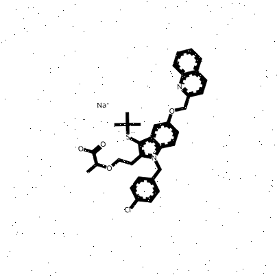 CC(OCCc1c(SC(C)(C)C)c2cc(OCc3ccc4ccccc4n3)ccc2n1Cc1ccc(Cl)cc1)C(=O)[O-].[Na+]